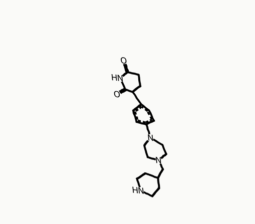 O=C1CCC(c2ccc(N3CCN(CC4CCNCC4)CC3)cc2)C(=O)N1